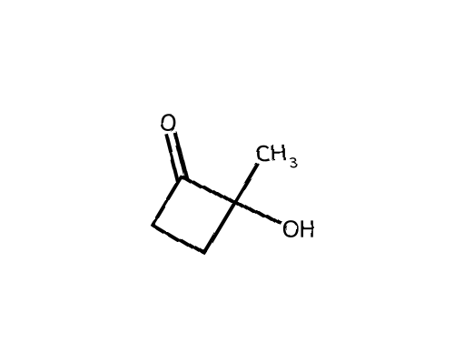 CC1(O)CCC1=O